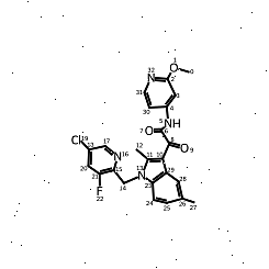 COc1cc(NC(=O)C(=O)c2c(C)n(Cc3ncc(Cl)cc3F)c3ccc(C)cc23)ccn1